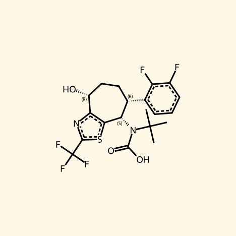 CC(C)(C)N(C(=O)O)[C@@H]1c2sc(C(F)(F)F)nc2[C@H](O)CC[C@@H]1c1cccc(F)c1F